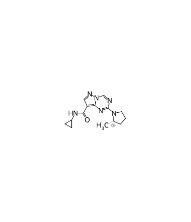 C[C@H]1CCCN1c1ncn2ncc(C(=O)NC3CC3)c2n1